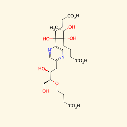 C[C@H](O)[C@@](O)(CCCC(=O)O)C(O)(CCCC(=O)O)c1cnc(C[C@H](O)[C@H](CO)OCCCC(=O)O)cn1